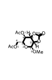 CO[C@H]1O[C@H](COC(C)=O)[C@@H](OC(C)=O)[C@@H]2OC(=O)O[C@H]12